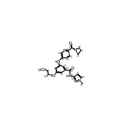 C[C@@H](CO)Oc1cc(Oc2ccc(C(=O)N3CCC3)nc2)cc(C(=O)Nc2ccn(C)n2)c1